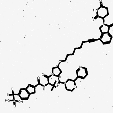 CC(C)(C)C(NC(=O)C1=Cc2cc(C(F)(F)P(=O)(O)O)ccc2C1)C(=O)N1C[C@@H](OCCCCCCC#Cc2cccc3c2CN(C2CCC(=O)NC2=O)C3=O)C[C@H]1C(=O)N1CCOC(c2cccnc2)C1